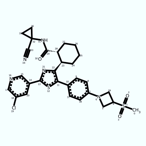 CS(=O)(=O)C1CN(c2ccc(-c3sc(-c4cncc(Cl)c4)nc3[C@@H]3CCCC[C@H]3C(=O)NC3(C#N)CC3)cc2)C1